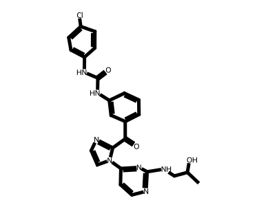 CC(O)CNc1nccc(-n2ccnc2C(=O)c2cccc(NC(=O)Nc3ccc(Cl)cc3)c2)n1